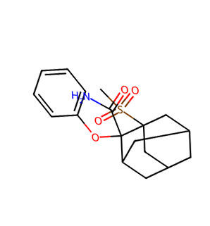 CS(=O)(=O)C12CC3CC(CC(C3)C1(Oc1ccccc1)C(N)=O)C2